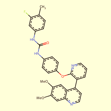 COc1cc2nccc(-c3cccnc3Oc3ccc(NC(=O)Nc4ccc(C)c(F)c4)cc3)c2cc1OC